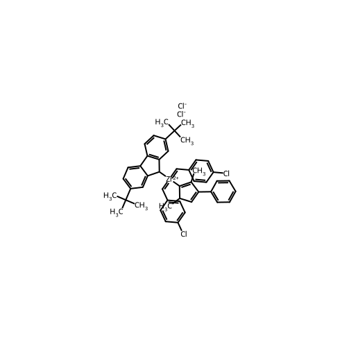 CC1=[C]([Zr+2](=[CH]c2ccc(Cl)cc2)(=[CH]c2ccc(Cl)cc2)[CH]2c3cc(C(C)(C)C)ccc3-c3ccc(C(C)(C)C)cc32)C(C)C=C1c1ccccc1.[Cl-].[Cl-]